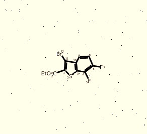 CCOC(=O)c1sc2c(F)c(F)ccc2c1Br